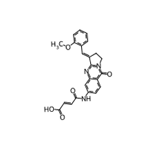 COc1ccccc1C=C1CCn2c1nc1cc(NC(=O)C=CC(=O)O)ccc1c2=O